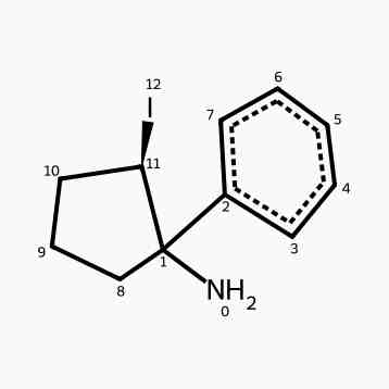 NC1(c2ccccc2)CCC[C@H]1I